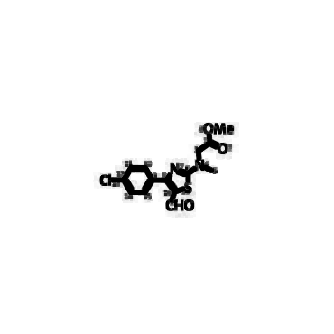 COC(=O)CN(C)c1nc(-c2ccc(Cl)cc2)c(C=O)s1